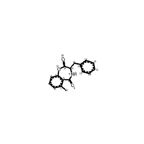 Cc1cccc2c1C(=O)NC(Cc1ccccc1)C(=O)O2